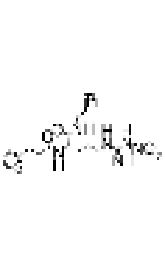 CC(C)CCNC(=O)[C@H](CCCNC(=N)N[N+](=O)[O-])NC(=O)CCc1cccs1